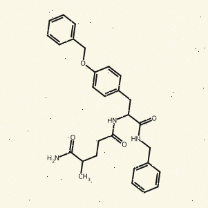 CC(C[CH]C(=O)NC(Cc1ccc(OCc2ccccc2)cc1)C(=O)NCc1ccccc1)C(N)=O